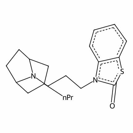 CCCC1CC2CCC(C1)N2CCCn1c(=O)sc2ccccc21